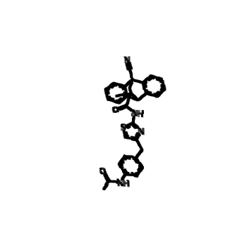 CC(=O)Nc1ccc(Cc2csc(NC(=O)C3(C)CC4(C#N)c5ccccc5C3c3ccccc34)n2)cc1